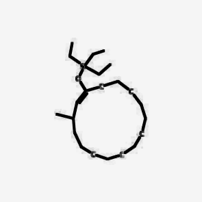 CC[Si](CC)(CC)OC1=CC(C)CCCCCCCCCCCC1